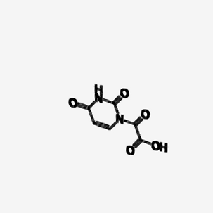 O=C(O)C(=O)n1ccc(=O)[nH]c1=O